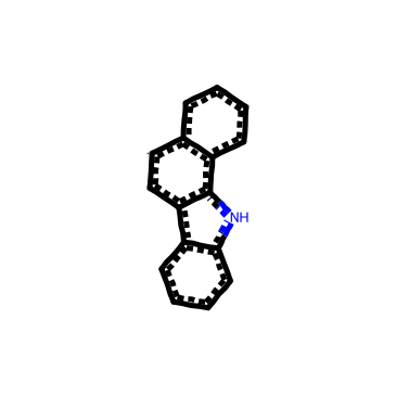 [c]1cc2c3ccccc3[nH]c2c2ccccc12